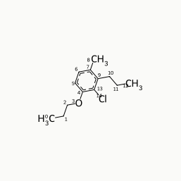 CCCOc1ccc(C)c(CCC)c1Cl